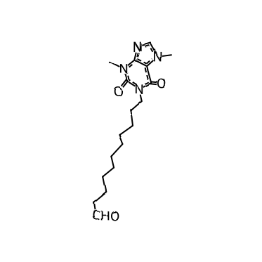 Cn1cnc2c1c(=O)n(CCCCCCCCCCC=O)c(=O)n2C